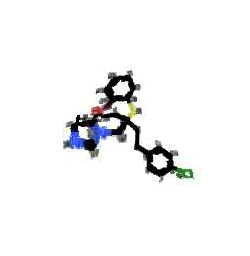 CCC(CCc1ccc(Cl)cc1)(Cn1ccnc1)Sc1ccccc1Br